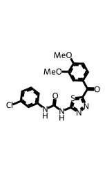 COc1ccc(C(=O)c2nnc(NC(=O)Nc3cccc(Cl)c3)s2)cc1OC